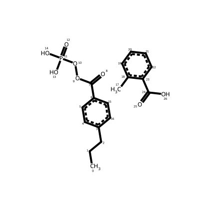 CCCc1ccc(C(=O)OOP(=O)(O)O)cc1.Cc1ccccc1C(=O)O